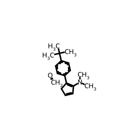 C=O.CN(C)C1=C(c2ccc(C(C)(C)C)cc2)CC=C1